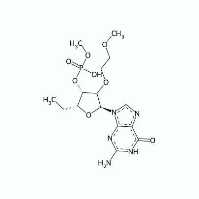 CC[C@H]1O[C@H](n2cnc3c(=O)[nH]c(N)nc32)C(OCCOC)[C@H]1OP(=O)(O)OC